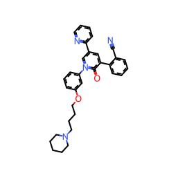 N#Cc1ccccc1-c1cc(-c2ccccn2)cn(-c2cccc(OCCCCN3CCCCC3)c2)c1=O